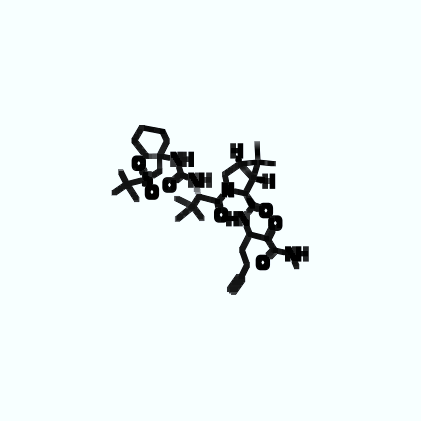 C#CCCC(NC(=O)[C@@H]1[C@@H]2[C@H](CN1C(=O)[C@@H](NC(=O)NC1(CS(=O)(=O)C(C)(C)C)CCCCC1)C(C)(C)C)C2(C)C)C(=O)C(=O)NC